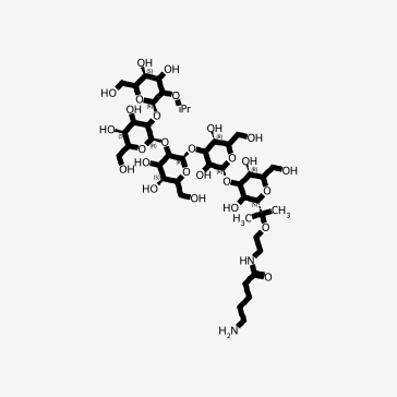 CC(C)OC1C(O)[C@H](O)C(CO)O[C@@H]1OC1C(O)[C@H](O)C(CO)O[C@@H]1OC1C(O)[C@H](O)C(CO)O[C@@H]1OC1C(O)[C@@H](OC2C(O)[C@@H](C(C)(C)OCCNC(=O)CCCCN)OC(CO)[C@H]2O)OC(CO)[C@H]1O